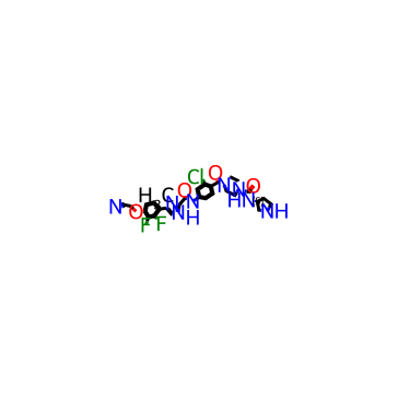 Cn1c(-c2ccc(OCC#N)c(F)c2F)cnc1C(=O)Nc1ccc(C(=O)N2CCN(C(=O)N[C@H]3CCNC3)CC2)c(Cl)c1